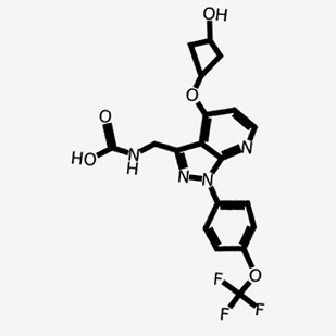 O=C(O)NCc1nn(-c2ccc(OC(F)(F)F)cc2)c2nccc(OC3CC(O)C3)c12